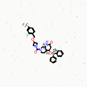 CC(C)(C)[Si](OC1CC(=O)N[C@@H]2CN(C(=O)N3CC(OCc4ccc(C(F)(F)F)cc4F)C3)CC[C@H]12)(c1ccccc1)c1ccccc1